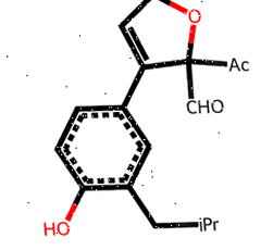 CC(=O)C1(C=O)OCC=C1c1ccc(O)c(CC(C)C)c1